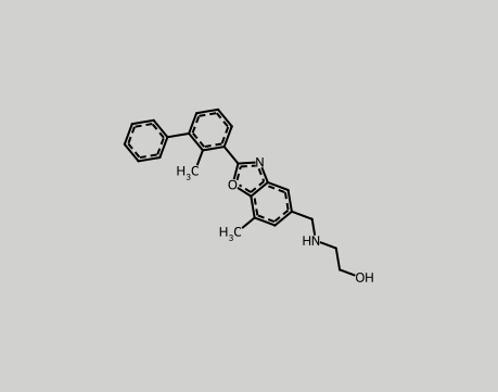 Cc1c(-c2ccccc2)cccc1-c1nc2cc(CNCCO)cc(C)c2o1